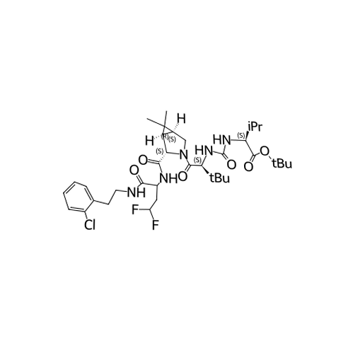 CC(C)[C@H](NC(=O)N[C@H](C(=O)N1C[C@H]2[C@@H]([C@H]1C(=O)NC(CC(F)F)C(=O)NCCc1ccccc1Cl)C2(C)C)C(C)(C)C)C(=O)OC(C)(C)C